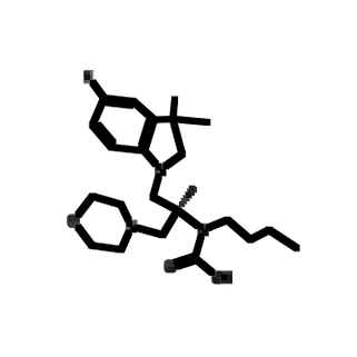 CCCCN(C(=O)O)[C@@](C)(CN1CCOCC1)CN1CC(C)(C)c2cc(F)ccc21